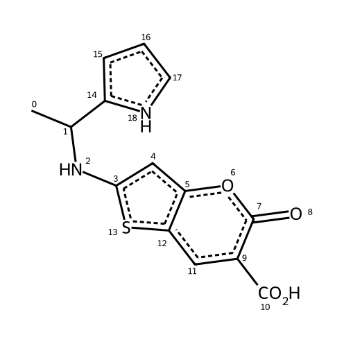 CC(Nc1cc2oc(=O)c(C(=O)O)cc2s1)c1ccc[nH]1